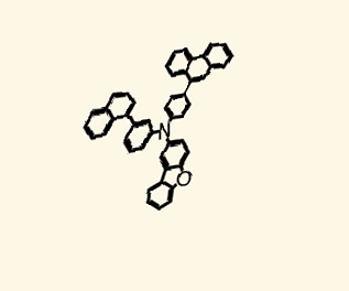 c1cc(-c2cccc3ccccc23)cc(N(c2ccc(-c3cc4ccccc4c4ccccc34)cc2)c2ccc3oc4ccccc4c3c2)c1